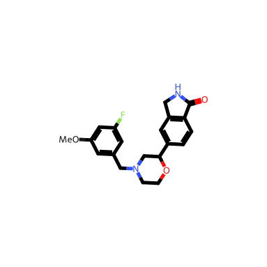 COc1cc(F)cc(CN2CCOC(c3ccc4c(c3)CNC4=O)C2)c1